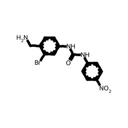 NCc1ccc(NC(=O)Nc2ccc([N+](=O)[O-])cc2)cc1Br